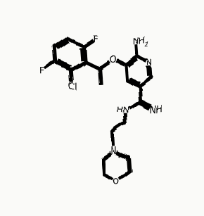 CC(Oc1cc(C(=N)NCCN2CCOCC2)cnc1N)c1c(F)ccc(F)c1Cl